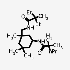 CCCC(C)(C)C(=O)NC1CC(C)(C)CC(C)(CNC(=O)C(C)(CC)CC)C1